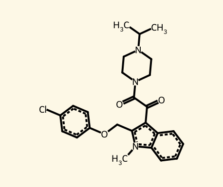 CC(C)N1CCN(C(=O)C(=O)c2c(COc3ccc(Cl)cc3)n(C)c3ccccc23)CC1